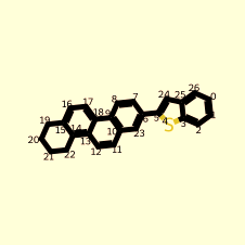 c1ccc2sc(-c3ccc4c(ccc5c6c(ccc54)CCCC6)c3)cc2c1